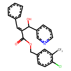 O=C(OCc1ccc(Cl)c(C(F)(F)F)c1)C(=Cc1ccccc1)C(O)c1cccnc1